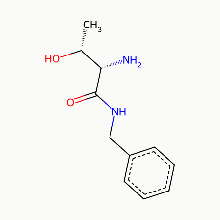 C[C@@H](O)[C@H](N)C(=O)NCc1ccccc1